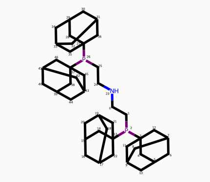 C(CP(C12CC3CC(CC(C3)C1)C2)C12CC3CC(CC(C3)C1)C2)NCCP(C12CC3CC(CC(C3)C1)C2)C12CC3CC(CC(C3)C1)C2